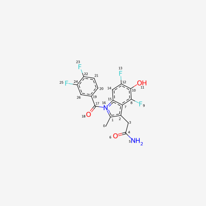 Cc1c(CC(N)=O)c2c(F)c(O)c(F)cc2n1C(=O)c1ccc(F)c(F)c1